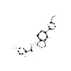 CCc1nc(-c2ccc3c(c2)CC[C@H]3NC(=O)c2nnn(C)n2)no1